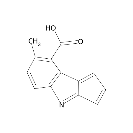 Cc1ccc2c(c1C(=O)O)C1=CC=CC1=N2